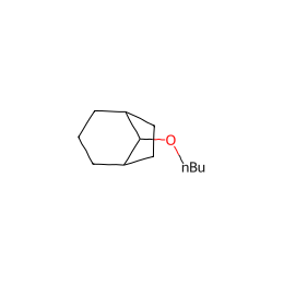 CCCCOC1C2CCCC1CC2